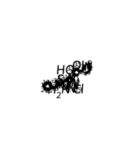 CN1CCC[C@@H]([C@H]2C[C@@H](n3cc(-c4nc(Cc5ccccc5)cs4)c4c(N)nc(Cl)nc43)[C@H](O)[C@@H]2O)C1